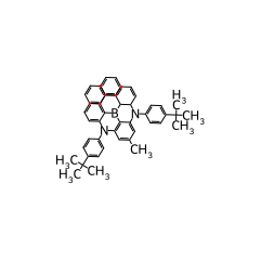 Cc1cc2c3c(c1)N(c1ccc(C(C)(C)C)cc1)C1C=CC=C(c4ccccc4)C1B3c1c(-c3ccccc3)cccc1N2c1ccc(C(C)(C)C)cc1